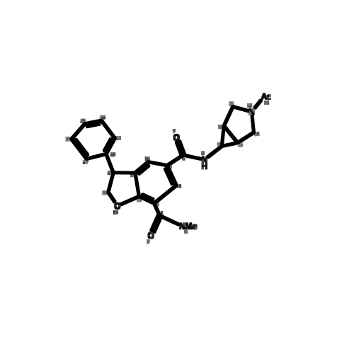 CNC(=O)c1cc(C(=O)NC2C3CN(C(C)=O)CC32)cc2c1OCC2c1ccccc1